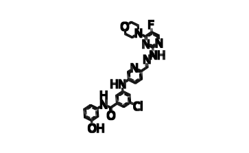 O=C(Nc1cccc(O)c1)c1cc(Cl)cc(Nc2ccc(/C=N/Nc3ncc(F)c(N4CCOCC4)n3)nc2)c1